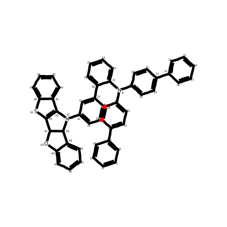 c1ccc(-c2ccc(N(c3ccc(-c4ccccc4)cc3)c3ccccc3-c3cccc(N4c5c(sc6ccccc56)C5Oc6ccccc6C54)c3)cc2)cc1